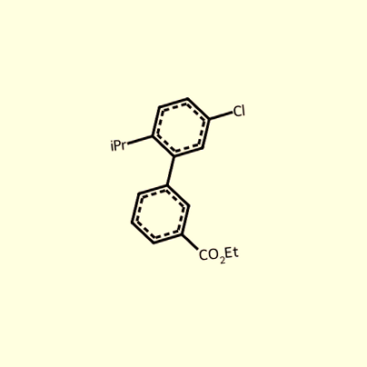 CCOC(=O)c1cccc(-c2cc(Cl)ccc2C(C)C)c1